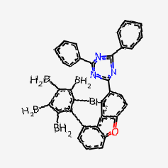 Bc1c(B)c(B)c(-c2cccc3oc4ccc(-c5nc(-c6ccccc6)nc(-c6ccccc6)n5)cc4c23)c(B)c1B